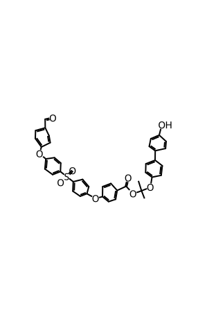 CC(C)(OC(=O)c1ccc(Oc2ccc(S(=O)(=O)c3ccc(Oc4ccc(C=O)cc4)cc3)cc2)cc1)Oc1ccc(-c2ccc(O)cc2)cc1